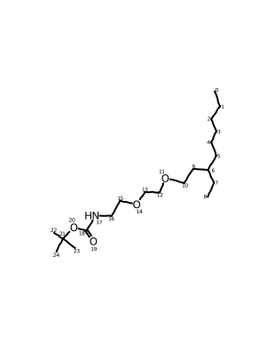 CCCCCCC(CC)CCOCCOCCNC(=O)OC(C)(C)C